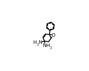 NC1(N)C=CC2(c3ccccc3)OC2C1